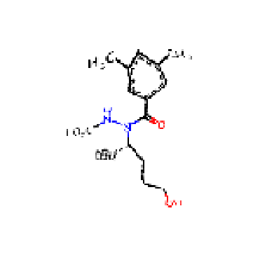 Cc1cc(C)cc(C(=O)N(NC(=O)O)[C@H](CCCO)C(C)(C)C)c1